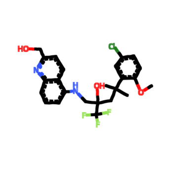 COc1ccc(Cl)cc1C(C)(C)CC(O)(CNc1cccc2nc(CO)ccc12)C(F)(F)F